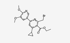 CCOC(=O)c1c(C2CC2)cc(-c2cnc(OC)c(OC)c2)nc1CBr